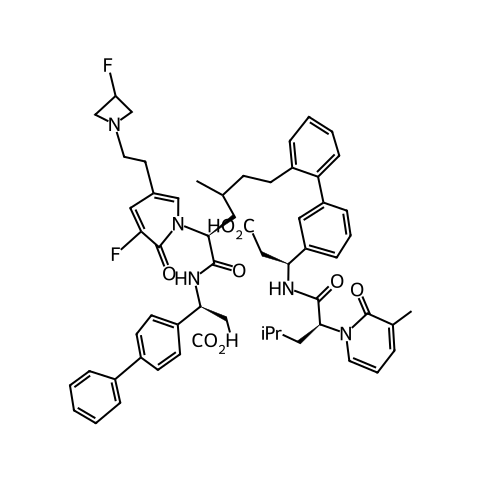 Cc1cccn([C@@H](CC(C)C)C(=O)N[C@@H](CC(=O)O)c2cccc(-c3ccccc3CCC(C)C[C@@H](C(=O)N[C@@H](CC(=O)O)c3ccc(-c4ccccc4)cc3)n3cc(CCN4CC(F)C4)cc(F)c3=O)c2)c1=O